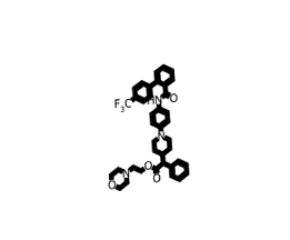 O=C(Nc1ccc(N2CCC(C(C(=O)OCCN3CCOCC3)c3ccccc3)CC2)cc1)c1ccccc1-c1ccc(C(F)(F)F)cc1